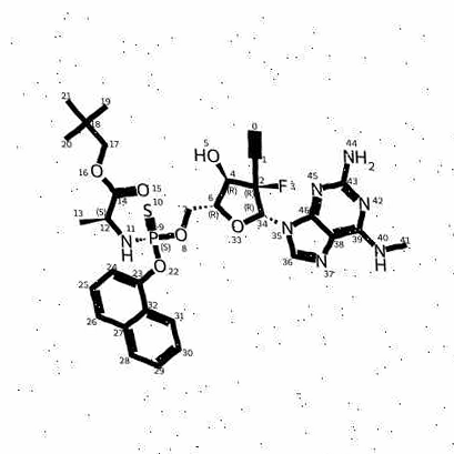 C#C[C@@]1(F)[C@H](O)[C@@H](CO[P@@](=S)(N[C@@H](C)C(=O)OCC(C)(C)C)Oc2cccc3ccccc23)O[C@H]1n1cnc2c(NC)nc(N)nc21